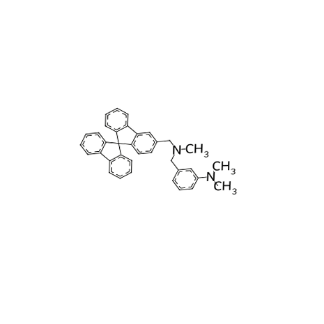 CN(Cc1cccc(N(C)C)c1)Cc1ccc2c(c1)-c1ccccc1C21c2ccccc2-c2ccccc21